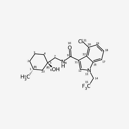 C[C@@H]1CCC[C@](O)(CNC(=O)c2cn(CC(F)(F)F)c3cccc(Cl)c23)C1